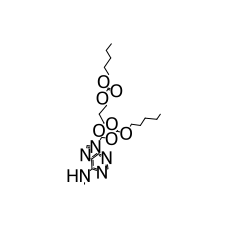 CCCCCOC(=O)OCCCOC(OC(=O)OCCCCC)n1cnc2c(NC)ncnc21